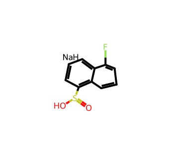 O=S(O)c1cccc2c(F)cccc12.[NaH]